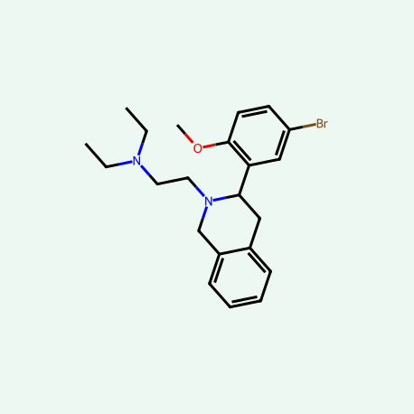 CCN(CC)CCN1Cc2ccccc2CC1c1cc(Br)ccc1OC